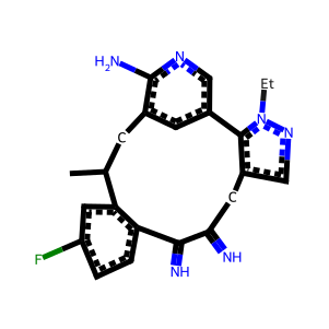 CCn1ncc2c1-c1cnc(N)c(c1)CC(C)c1cc(F)ccc1C(=N)C(=N)C2